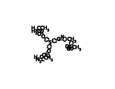 CC(C)(C)OC(=O)COc1ccc([S+](c2ccc(OCC(=O)OC(C)(C)C)cc2)c2ccc(OCc3ccccn3)cc2)cc1.Cc1ccc(C)c(S(=O)(=O)[O-])c1